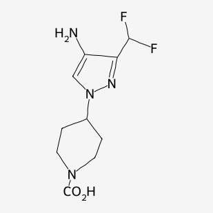 Nc1cn(C2CCN(C(=O)O)CC2)nc1C(F)F